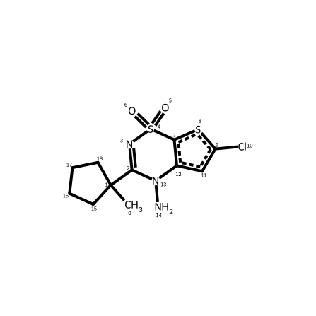 CC1(C2=NS(=O)(=O)c3sc(Cl)cc3N2N)CCCC1